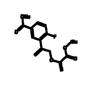 C=C(OCC(=C)c1cc(C(=O)OC)ccc1F)C(=O)OC(C)(C)C